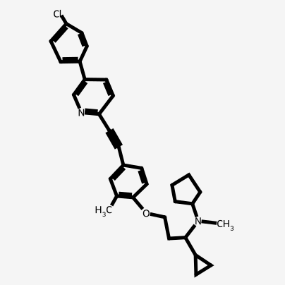 Cc1cc(C#Cc2ccc(-c3ccc(Cl)cc3)cn2)ccc1OCCC(C1CC1)N(C)C1CCCC1